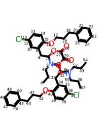 CCCN(CCC)C(Cc1cc(Cl)ccc1OCCCc1ccccc1)OC(=O)C(=O)OC(Cc1cc(Cl)ccc1OCCCc1ccccc1)N(CCC)CCC